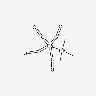 [CH3][Ge]([CH3])([CH3])[Co](=[C]=O)(=[C]=O)(=[C]=O)=[C]=O